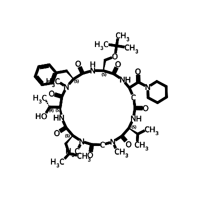 CC(C)C[C@H]1C(=O)N[C@@H]([C@@H](C)O)C(=O)N(C)[C@@H](Cc2ccccc2)C(=O)N[C@@H](COC(C)(C)C)C(=O)NC(C(=O)N2CCCCC2)CC(=O)N[C@@H](C(C)C)C(=O)N(C)CC(=O)N1C